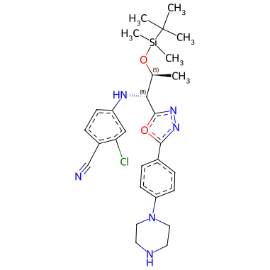 C[C@H](O[Si](C)(C)C(C)(C)C)[C@@H](Nc1ccc(C#N)c(Cl)c1)c1nnc(-c2ccc(N3CCNCC3)cc2)o1